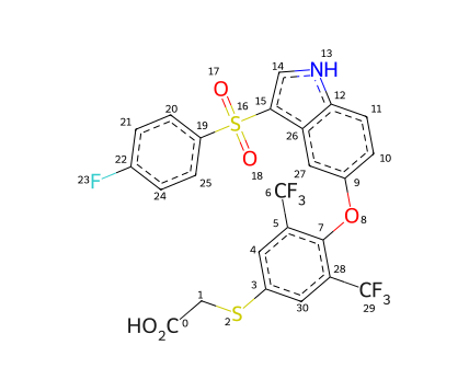 O=C(O)CSc1cc(C(F)(F)F)c(Oc2ccc3[nH]cc(S(=O)(=O)c4ccc(F)cc4)c3c2)c(C(F)(F)F)c1